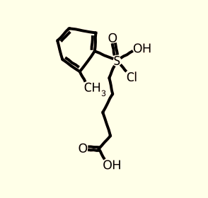 Cc1ccccc1S(=O)(O)(Cl)CCCCC(=O)O